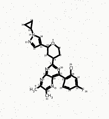 Cc1nc2nc(C3CCOC(c4cnn(C5CC5)c4)C3)nc(-c3ccc(F)cc3Cl)c2nc1C